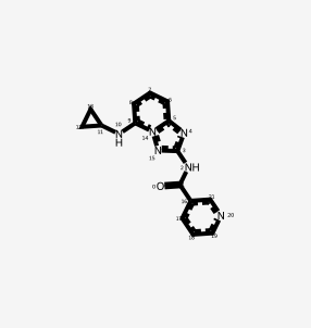 O=C(Nc1nc2cccc(NC3CC3)n2n1)c1cccnc1